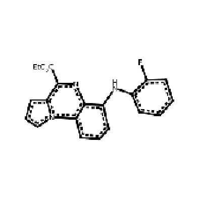 CCOC(=O)c1nc2c(Nc3ccccc3F)cccc2n2cccc12